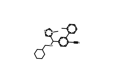 Cc1ccccc1-c1cc(C(NCC2CCCCC2)c2cncn2C)ccc1C#N